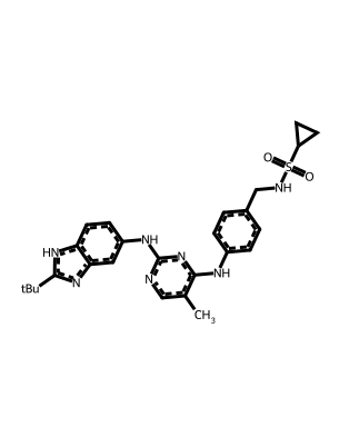 Cc1cnc(Nc2ccc3[nH]c(C(C)(C)C)nc3c2)nc1Nc1ccc(CNS(=O)(=O)C2CC2)cc1